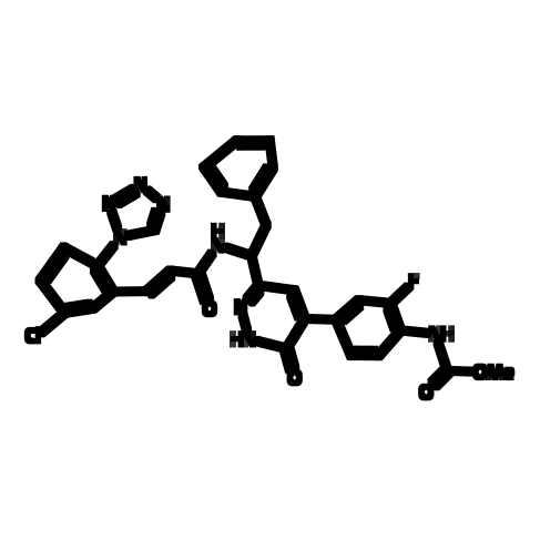 COC(=O)Nc1ccc(-c2cc(C(Cc3ccccc3)NC(=O)C=Cc3cc(Cl)ccc3-n3cnnn3)n[nH]c2=O)cc1F